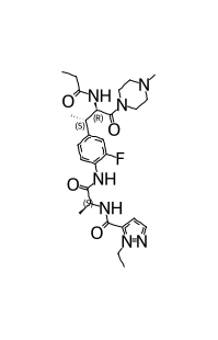 CCC(=O)N[C@@H](C(=O)N1CCN(C)CC1)[C@@H](C)c1ccc(NC(=O)[C@H](C)NC(=O)c2ccnn2CC)c(F)c1